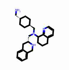 NC[C@H]1CC[C@H](CN(C[C@H]2Cc3ccccc3CN2)C2CCCc3cccnc32)CC1